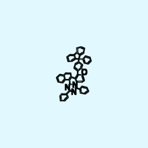 c1ccc(-c2nc(-c3ccccc3)nc(-c3c(-c4cccc5oc6cc(C7(c8ccccc8)c8ccccc8-c8ccccc87)ccc6c45)ccc4ccccc34)n2)cc1